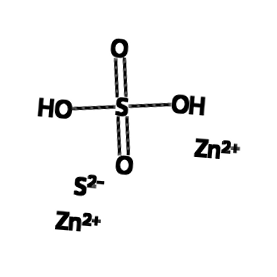 O=S(=O)(O)O.[S-2].[Zn+2].[Zn+2]